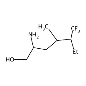 CCC(C(C)CC(N)CO)C(F)(F)F